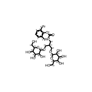 CC(C)c1cccc(C(C)C)c1OC(=O)OCC(COC1OC(CO)C(O)C(O)C1O)COC1OC(CO)C(O)C(O)C1O